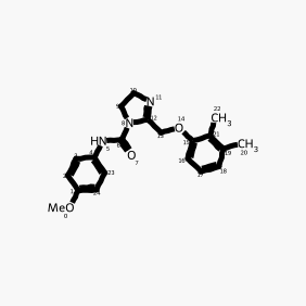 COc1ccc(NC(=O)N2CCN=C2COc2cccc(C)c2C)cc1